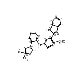 O=Cc1ccc(Oc2ncccc2[C@H]2CC[C@@](O)(C(F)(F)F)C2)cc1-c1nc2ccccc2[nH]1